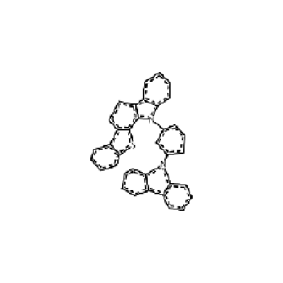 c1cc(-n2c3ccccc3c3ccccc32)cc(-n2c3ccccc3c3ccc4c5ccccc5sc4c32)c1